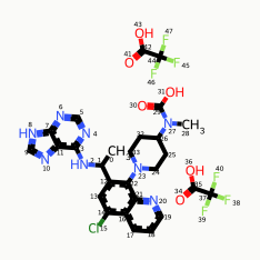 CC(Nc1ncnc2[nH]cnc12)c1cc(Cl)c2cccnc2c1N1CCC(N(C)C(=O)O)CC1.O=C(O)C(F)(F)F.O=C(O)C(F)(F)F